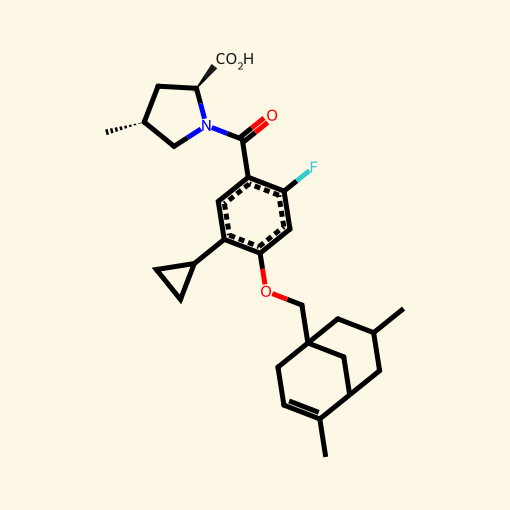 CC1=CCC2(COc3cc(F)c(C(=O)N4C[C@H](C)C[C@H]4C(=O)O)cc3C3CC3)CC(C)CC1C2